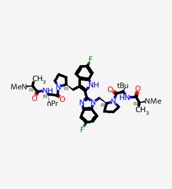 CCC[C@H](NC(=O)[C@H](C)NC)C(=O)N1CCC[C@H]1Cc1c(-c2nc3cc(F)ccc3n2C[C@@H]2CCCN2C(=O)[C@@H](NC(=O)[C@H](C)NC)C(C)(C)C)[nH]c2cc(F)ccc12